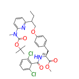 CCC(COc1ccc(C[C@H](NC(=O)c2c(Cl)cccc2Cl)C(=O)OC)cc1)c1cccc(N(C)C(=O)OC(C)(C)C)n1